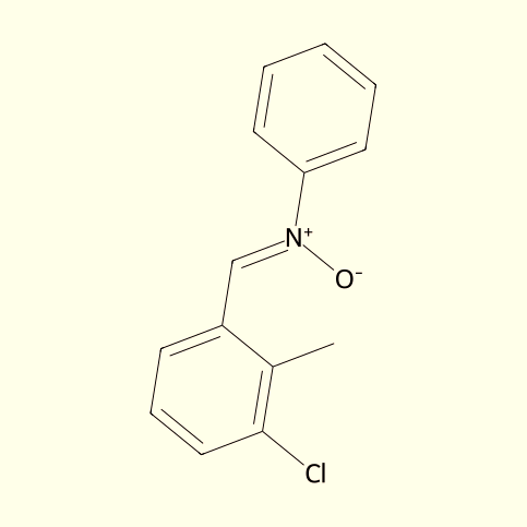 Cc1c(Cl)cccc1C=[N+]([O-])c1ccccc1